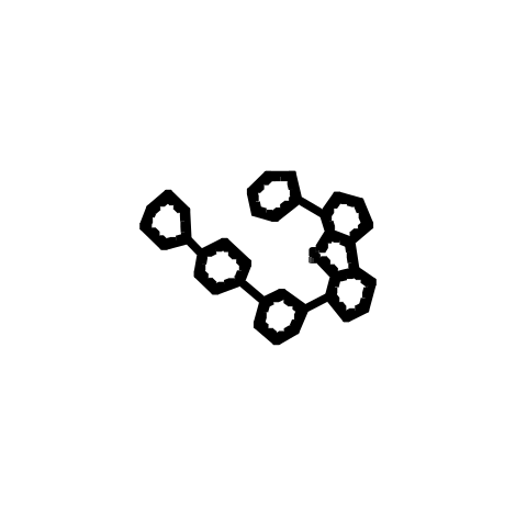 c1ccc(-c2ccc(-c3cccc(-c4cccc5c4sc4c(-c6ccccc6)cccc45)c3)cc2)cc1